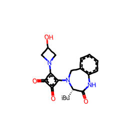 CCC(C)[C@H]1C(=O)Nc2ccccc2CN1c1c(N2CC(O)C2)c(=O)c1=O